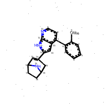 COc1ccccc1-c1ccnc2[nH]c(C3=CC4CCC(C3)N4)cc12